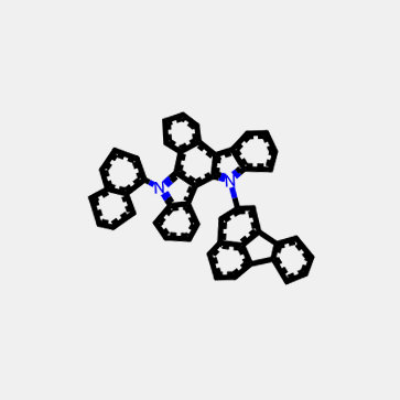 c1ccc2c(c1)-c1cccc3cc(-n4c5ccccc5c5c6ccccc6c6c(c7ccccc7n6-c6cccc7ccccc67)c54)cc-2c13